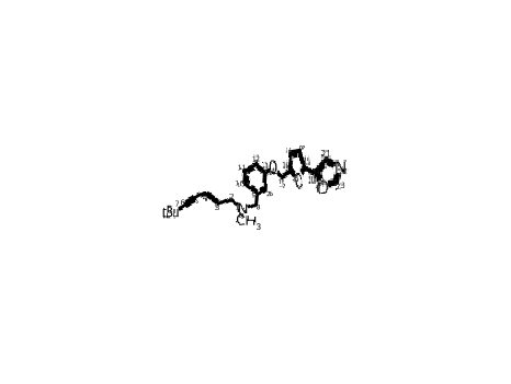 CN(CC=CC#CC(C)(C)C)Cc1cccc(OCc2ccc(-c3cnco3)o2)c1